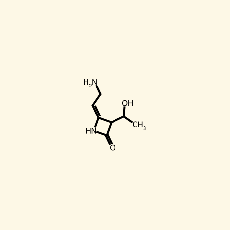 CC(O)C1C(=O)N/C1=C/CN